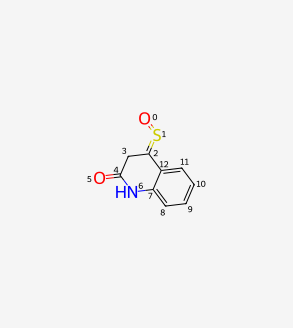 O=S=C1CC(=O)Nc2ccccc21